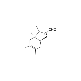 CC1=C(C)C[C@@](C)(C(C)OC=O)[C@@H](C)C1